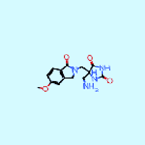 COc1ccc2c(c1)CN(CC1(CN)NC(=O)NC1=O)C2=O